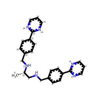 C[C@@H](CNCc1ccc(-c2ncccn2)cc1)NCc1ccc(-c2ncccn2)cc1